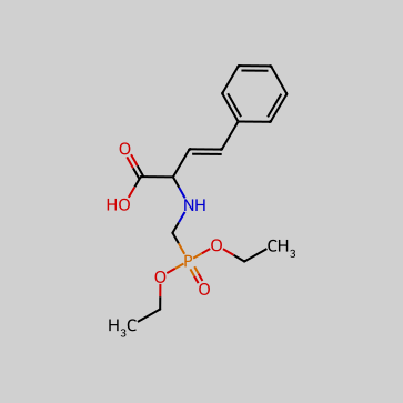 CCOP(=O)(CNC(/C=C/c1ccccc1)C(=O)O)OCC